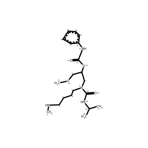 CNCCCCN(CC(COC)OC(=O)Nc1ccccc1)C(=O)NC(C)C